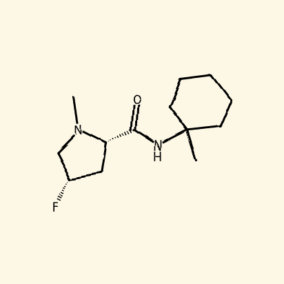 CN1C[C@@H](F)C[C@H]1C(=O)NC1(C)CCCCC1